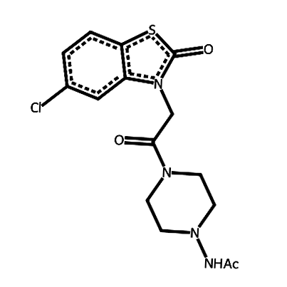 CC(=O)NN1CCN(C(=O)Cn2c(=O)sc3ccc(Cl)cc32)CC1